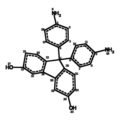 Nc1ccc(C2(c3ccc(N)cc3)c3ccc(O)cc3-c3cc(O)ccc32)cc1